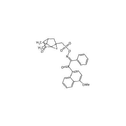 COc1ccc(C(=O)/C(=N/OS(=O)(=O)CC23CC4CC(=O)C2(C3)C4(C)C)c2ccccc2)c2ccccc12